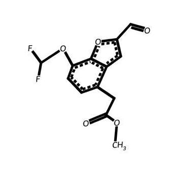 COC(=O)Cc1ccc(OC(F)F)c2oc(C=O)cc12